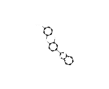 COc1cccc(Nc2ccc(-c3nc4ccccc4o3)cc2[N+](=O)[O-])c1